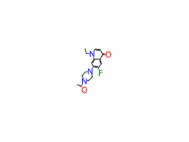 CCn1ccc(=O)c2cc(F)c(N3CCN(C(C)=O)CC3)cc21